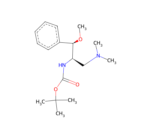 CO[C@H](c1ccccc1)[C@@H](CN(C)C)NC(=O)OC(C)(C)C